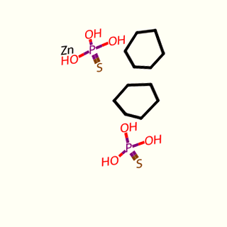 C1CCCCC1.C1CCCCC1.OP(O)(O)=S.OP(O)(O)=S.[Zn]